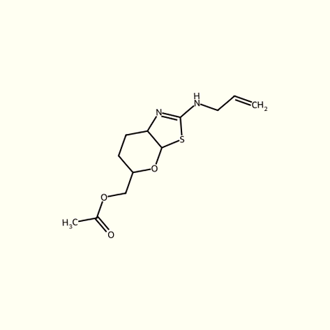 C=CCNC1=NC2CCC(COC(C)=O)OC2S1